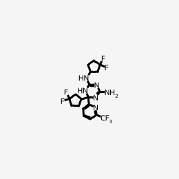 NC1=NC(c2cccc(C(F)(F)F)n2)(C2CCC(F)(F)C2)NC(NC2CCC(F)(F)C2)=N1